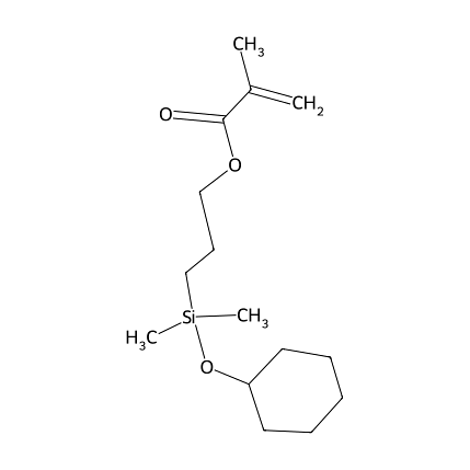 C=C(C)C(=O)OCCC[Si](C)(C)OC1CCCCC1